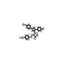 O=C1COC(c2cn(-c3ccc(Br)cc3)nc2-c2ccc(F)cc2)N1CCc1ccc(O)cc1